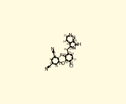 N#Cc1cc(C#N)cc(Oc2c(Cl)ccc(Cc3n[nH]c4nnccc34)c2F)c1